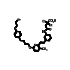 CCC(CC)(CC(=O)Nc1cccc(C=Cc2nc(OCCCCc3ccc(OCCC(C)C)cc3)ccc2C)c1)C(=O)O